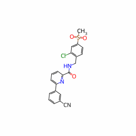 CS(=O)(=O)c1ccc(CNC(=O)c2cccc(-c3cccc(C#N)c3)n2)c(Cl)c1